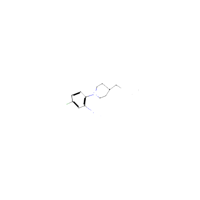 CCOC(=O)CC1CCN(c2ccc(Br)cc2N)CC1